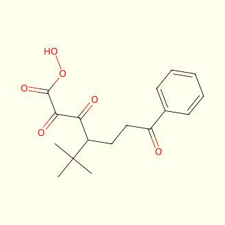 CC(C)(C)C(CCC(=O)c1ccccc1)C(=O)C(=O)C(=O)OO